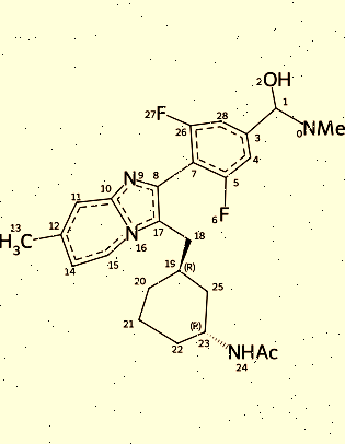 CNC(O)c1cc(F)c(-c2nc3cc(C)ccn3c2C[C@@H]2CCC[C@@H](NC(C)=O)C2)c(F)c1